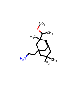 CC(O[N+](=O)[O-])C1(C)C=C2CC(C)(C)CC(CCN)(C2)C1